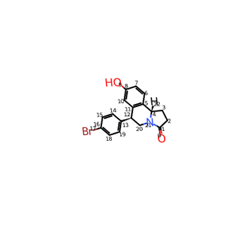 O=C1CC[C@H]2c3ccc(O)cc3[C@H](c3ccc(Br)cc3)CN12